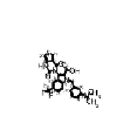 CN(C)c1cccc(Cn2c(C(=O)O)c(-n3c(=O)[nH]c4cscc4c3=O)c3cc(C(F)(F)F)ccc32)c1